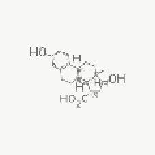 C[C@]12CC[C@@H]3c4ccc(O)cc4CC[C@H]3[C@@H]1[C@@H](C(=O)O)C[C@@H]2O